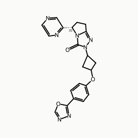 O=c1n(C2CC(Oc3ccc(-c4nnco4)cc3)C2)nc2n1[C@H](c1cnccn1)CC2